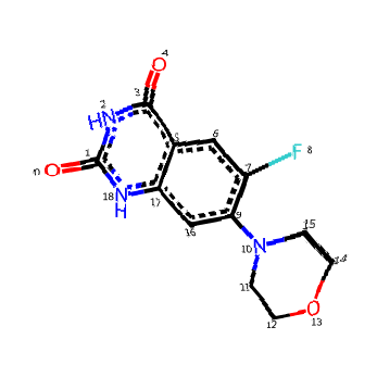 O=c1[nH]c(=O)c2cc(F)c(N3CCOCC3)cc2[nH]1